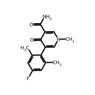 Cc1cc(F)cc(C)c1-c1cn(C)cc(C(N)=O)c1=O